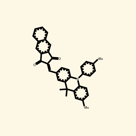 CC(C)(C)c1ccc(N2c3ccc(C=C4C(=O)c5cc6ccccc6cc5C4=O)cc3C(C)(C)c3cc(C(C)(C)C)ccc32)cc1